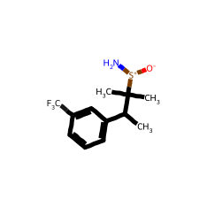 CC(c1cccc(C(F)(F)F)c1)C(C)(C)[S+](N)[O-]